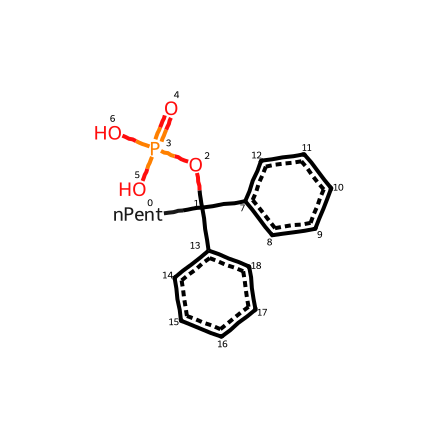 CCCCCC(OP(=O)(O)O)(c1ccccc1)c1ccccc1